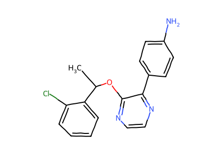 CC(Oc1nccnc1-c1ccc(N)cc1)c1ccccc1Cl